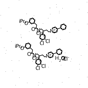 CC(C)Oc1cccc(CC(=O)N(C)CC(CC[n+]2ccc(-c3ccccc3)cc2)c2ccc(Cl)c(Cl)c2)c1.CC(C)Oc1cccc(CC(=O)N(C)CC(CC[n+]2ccc(-c3ccccc3)cc2)c2ccc(Cl)c(Cl)c2)c1.O.[Cl-].[Cl-]